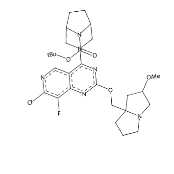 COC1CN2CCCC2(COc2nc(N3CC4CCC(C3)N4C(=O)OC(C)(C)C)c3cnc(Cl)c(F)c3n2)C1